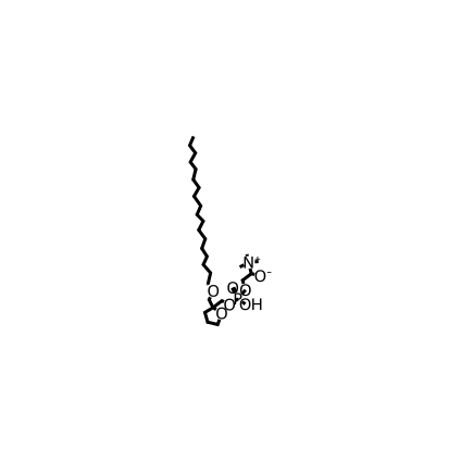 CCCCCCCCCCCCCCCCCCOCC1(COP(=O)(O)OCC([O-])[N+](C)(C)C)CCCO1